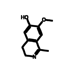 COc1cc2c(cc1O)CCN=C2C